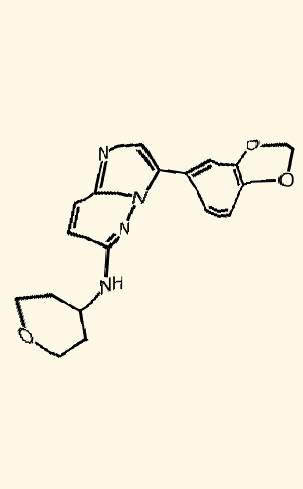 c1cc2c(cc1-c1cnc3ccc(NC4CCOCC4)nn13)OCO2